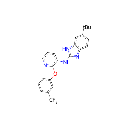 CC(C)(C)c1ccc2nc(Nc3cccnc3Oc3cccc(C(F)(F)F)c3)[nH]c2c1